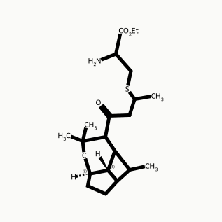 CCOC(=O)C(N)CSC(C)CC(=O)C1C2C(C)C3CC[C@@H](CC1(C)C)[C@@H]32